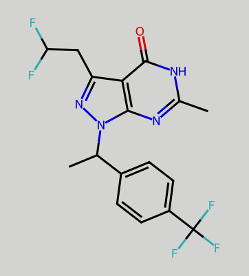 Cc1nc2c(c(CC(F)F)nn2C(C)c2ccc(C(F)(F)F)cc2)c(=O)[nH]1